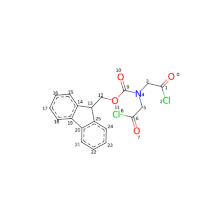 O=C(Cl)CN(CC(=O)Cl)C(=O)OCC1c2ccccc2-c2ccccc21